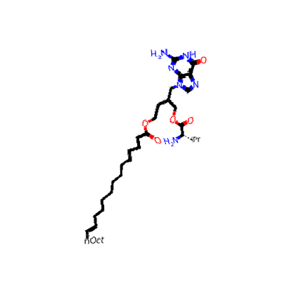 CCCCCCCCC=CCCCCCCCCCCCC(=O)OCCC(COC(=O)[C@@H](N)C(C)C)Cn1cnc2c(=O)[nH]c(N)nc21